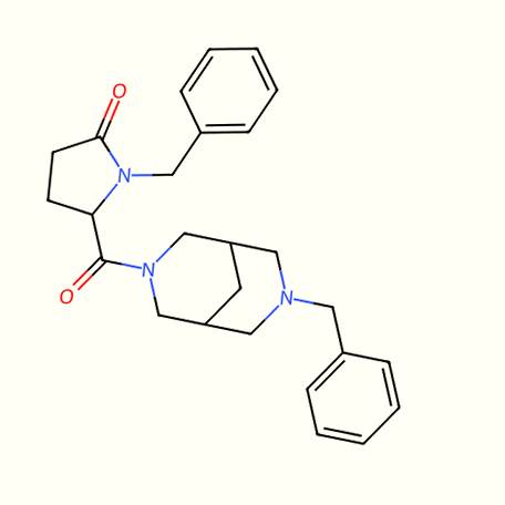 O=C(C1CCC(=O)N1Cc1ccccc1)N1CC2CC(CN(Cc3ccccc3)C2)C1